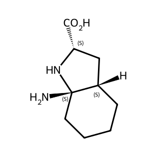 N[C@]12CCCC[C@H]1C[C@@H](C(=O)O)N2